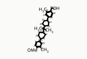 COc1ccc(C2CCC(C(C)(C)C3CCC(c4ccc(CO)c(C)c4)CC3)CC2)cc1C